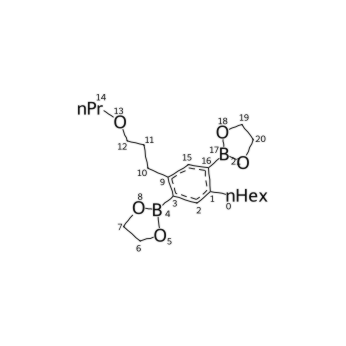 CCCCCCc1cc(B2OCCO2)c(CCCOCCC)cc1B1OCCO1